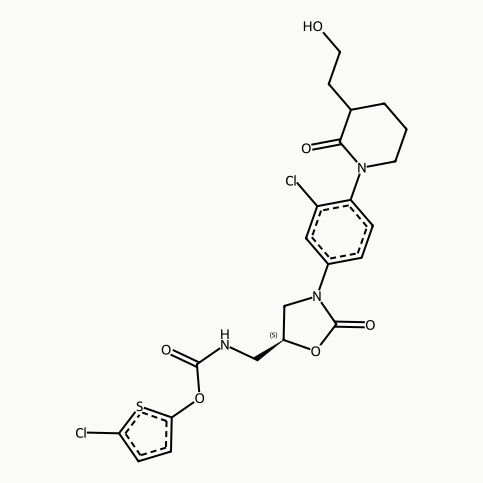 O=C(NC[C@H]1CN(c2ccc(N3CCCC(CCO)C3=O)c(Cl)c2)C(=O)O1)Oc1ccc(Cl)s1